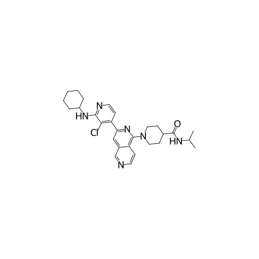 CC(C)NC(=O)C1CCN(c2nc(-c3ccnc(NC4CCCCC4)c3Cl)cc3cnccc23)CC1